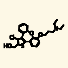 CCN(CC)CCCOc1cccc2c1Oc1ccccc1-c1c-2sc(CO)c1Cl